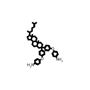 CC(C)=CCCC(C)C1CCC2C3CCC4CC(c5ccc(Oc6ccc(N)cc6)cc5)(c5ccc(Oc6ccc(N)cc6)cc5)CCC4(C)C3CCC12C